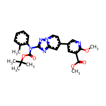 COC(=O)c1cc(-c2ccn3nc(N(C(=O)OC(C)(C)C)c4ccccc4C)nc3c2)cnc1OC